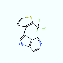 FC(F)(F)c1sccc1-c1c[nH]c2ccncc12